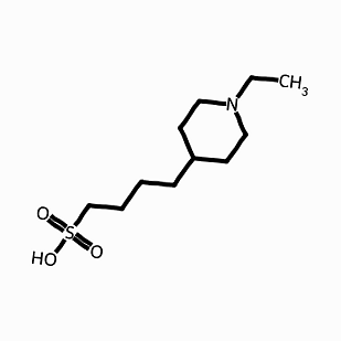 CCN1CCC(CCCCS(=O)(=O)O)CC1